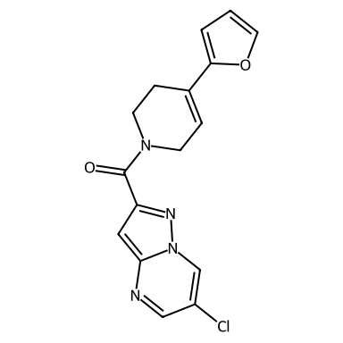 O=C(c1cc2ncc(Cl)cn2n1)N1CC=C(c2ccco2)CC1